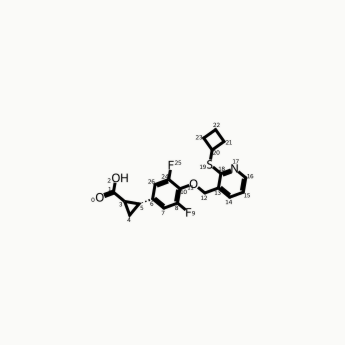 O=C(O)C1C[C@H]1c1cc(F)c(OCc2cccnc2SC2CCC2)c(F)c1